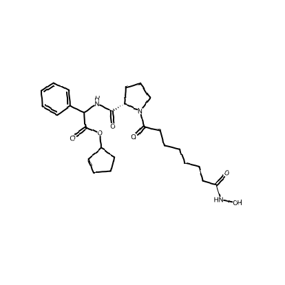 O=C(CCCCCCC(=O)N1CCC[C@H]1C(=O)NC(C(=O)OC1CCCC1)c1ccccc1)NO